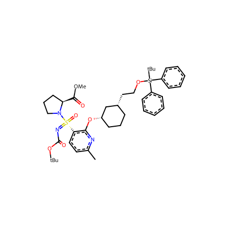 COC(=O)[C@@H]1CCCN1[S@@](=O)(=NC(=O)OC(C)(C)C)c1ccc(C)nc1O[C@H]1CCC[C@@H](CCO[Si](c2ccccc2)(c2ccccc2)C(C)(C)C)C1